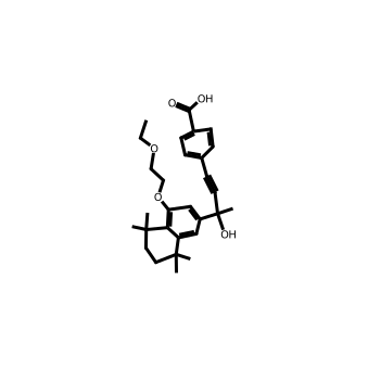 CCOCCOc1cc(C(C)(O)C#Cc2ccc(C(=O)O)cc2)cc2c1C(C)(C)CCC2(C)C